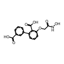 O=C(COc1cccc(-c2cccc(C(=O)O)c2)c1C(=O)O)NO